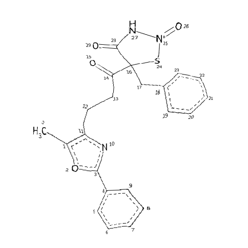 Cc1oc(-c2ccccc2)nc1CCC(=O)C1(Cc2ccccc2)S[N+](=O)NC1=O